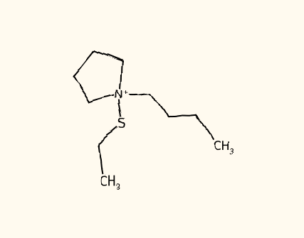 CCCC[N+]1(SCC)CCCC1